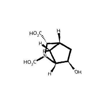 O=C(O)[C@@H]1[C@@H]2C[C@@H](O)[C@@H]([C@@H]2F)N1C(=O)O